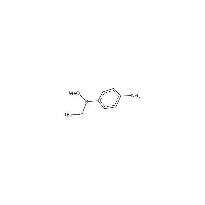 COB(OC(C)(C)C)c1ccc(N)cc1